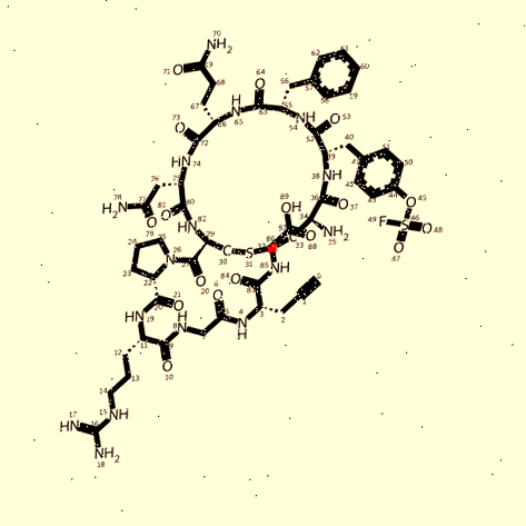 C#CC[C@H](NC(=O)CNC(=O)[C@H](CCCNC(=N)N)NC(=O)[C@@H]1CCCN1C(=O)[C@@H]1CSSC[C@H](N)C(=O)N[C@@H](Cc2ccc(OS(=O)(=O)F)cc2)C(=O)N[C@@H](Cc2ccccc2)C(=O)N[C@@H](CCC(N)=O)C(=O)N[C@@H](CC(N)=O)C(=O)N1)C(=O)NCC(=O)O